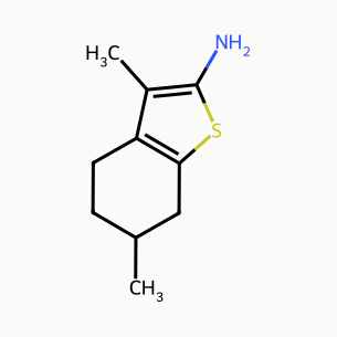 Cc1c(N)sc2c1CCC(C)C2